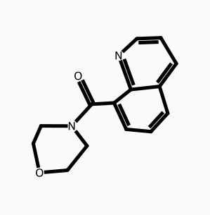 O=C(c1cccc2cccnc12)N1CCOCC1